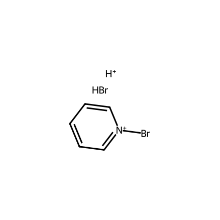 Br.Br[n+]1ccccc1.[H+]